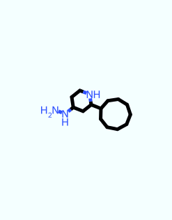 NNC1CCNC(C2CCCCCCCC2)C1